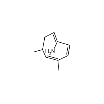 CC1=C/C(C)C/C=C(N)/C=C\1